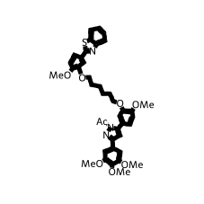 COc1ccc(-c2nc3ccccc3s2)cc1OCCCCCCOc1cc(-c2cc(-c3cc(OC)c(OC)c(OC)c3)nn2C(C)=O)ccc1OC